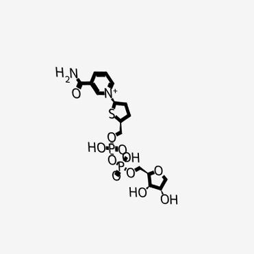 NC(=O)c1ccc[n+]([C@H]2CC[C@@H](COP(=O)(O)OP(=O)(O)OC[C@H]3OC[C@H](O)[C@@H]3O)S2)c1